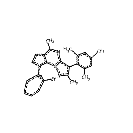 CCc1ccccc1-n1ccc2c(C)nc3c(-c4c(C)cc(C)cc4C)c(C)nn3c21